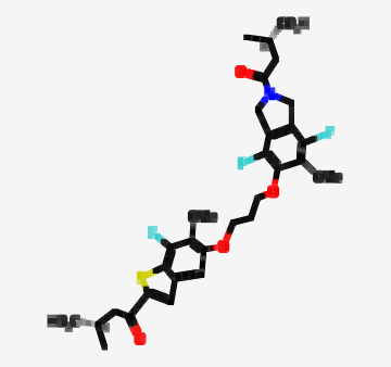 COc1c(F)c2c(c(F)c1OCCCOc1cc3cc(C(=O)C[C@H](C)C(=O)O)sc3c(F)c1OC)CN(C(=O)C[C@H](C)C(=O)O)C2